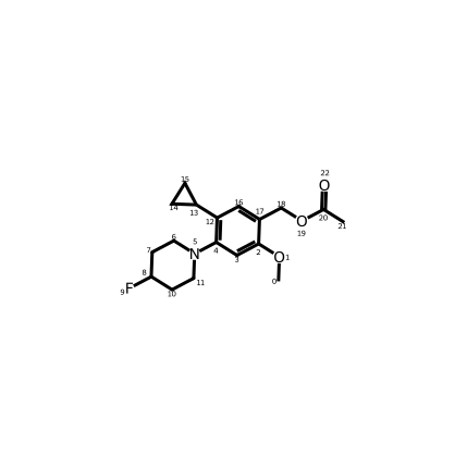 COc1cc(N2CCC(F)CC2)c(C2CC2)cc1COC(C)=O